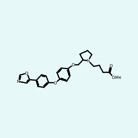 COC(=O)CCCN1CCCC1COc1ccc(Oc2ccc(-c3cnco3)cc2)cc1